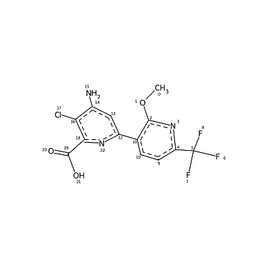 COc1nc(C(F)(F)F)ccc1-c1cc(N)c(Cl)c(C(=O)O)n1